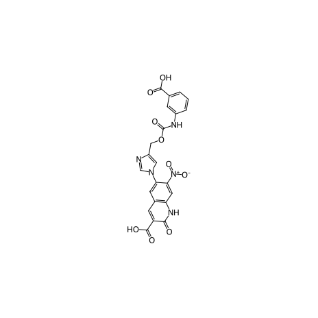 O=C(Nc1cccc(C(=O)O)c1)OCc1cn(-c2cc3cc(C(=O)O)c(=O)[nH]c3cc2[N+](=O)[O-])cn1